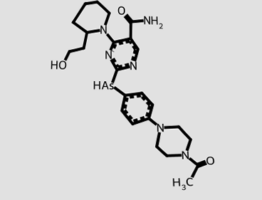 CC(=O)N1CCN(c2ccc([AsH]c3ncc(C(N)=O)c(N4CCCCC4CCO)n3)cc2)CC1